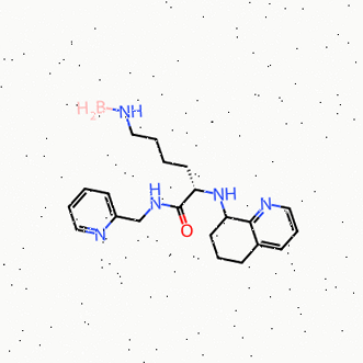 BNCCCC[C@H](NC1CCCc2cccnc21)C(=O)NCc1ccccn1